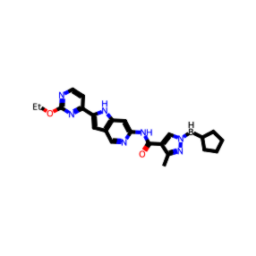 CCOc1nccc(-c2cc3cnc(NC(=O)c4cn(BC5CCCC5)nc4C)cc3[nH]2)n1